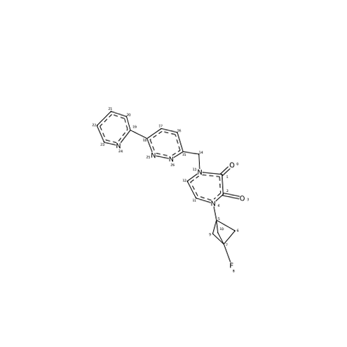 O=c1c(=O)n(C23CC(F)(C2)C3)ccn1Cc1ccc(-c2ccccn2)nn1